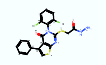 NNC(=O)CSc1nc2scc(-c3ccccc3)c2c(=O)n1-c1c(F)cccc1F